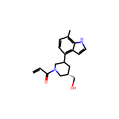 C=CC(=O)N1CC(c2ccc(C)c3[nH]ccc23)C[C@H](CO)C1